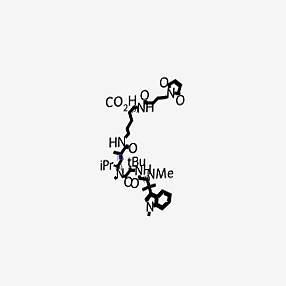 CN[C@H](C(=O)NC(C(=O)N(C)[C@H](/C=C(\C)C(=O)NCCCC[C@H](NC(=O)CCCN1C(=O)C=CC1=O)C(=O)O)C(C)C)C(C)(C)C)C(C)(C)c1cn(C)c2ccccc12